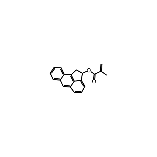 C=C(C)C(=O)OC1Cc2c3ccccc3cc3cccc1c23